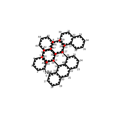 Nc1cccc2cc3ccccc3c(-c3c4ccccc4cc4cccc(N(c5cccc6ccccc56)c5cccc6ccccc56)c34)c12